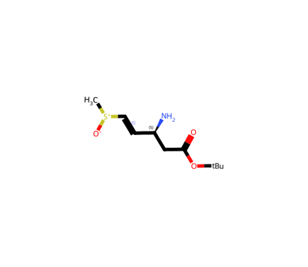 C[S+]([O-])/C=C/[C@@H](N)CC(=O)OC(C)(C)C